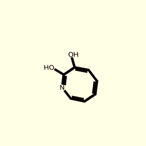 OC1=CC=CC=CN=C1O